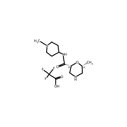 C[C@@H]1CNC[C@H](C(=O)NC2CCN(C)CC2)O1.O=C(O)C(F)(F)F